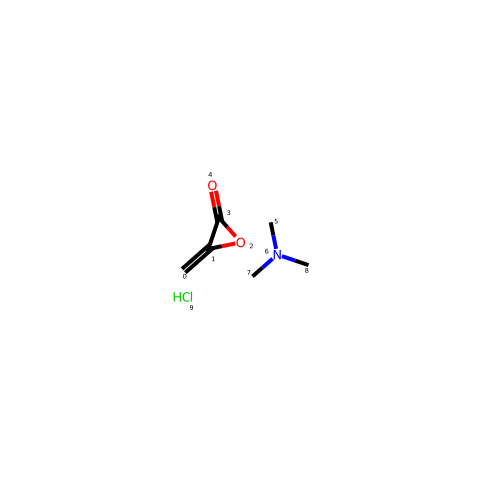 C=C1OC1=O.CN(C)C.Cl